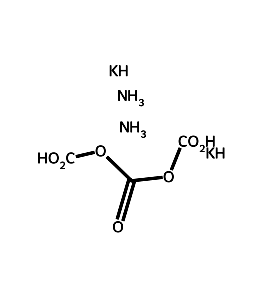 N.N.O=C(O)OC(=O)OC(=O)O.[KH].[KH]